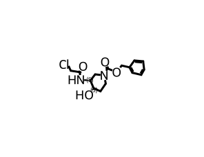 O=C(CCl)N[C@H]1CN(C(=O)OCc2ccccc2)CC[C@@H]1O